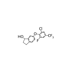 OC1CCc2ccc(Oc3c(F)cc(C(F)(F)F)cc3Cl)cc21